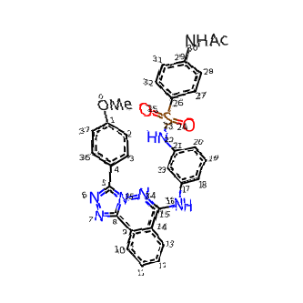 COc1ccc(-c2nnc3c4ccccc4c(Nc4cccc(NS(=O)(=O)c5ccc(NC(C)=O)cc5)c4)nn23)cc1